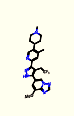 COc1cc(-c2[nH]nc(-c3cc(C)c(C4CCN(C)CC4)cn3)c2CC(F)(F)F)cn2ncnc12